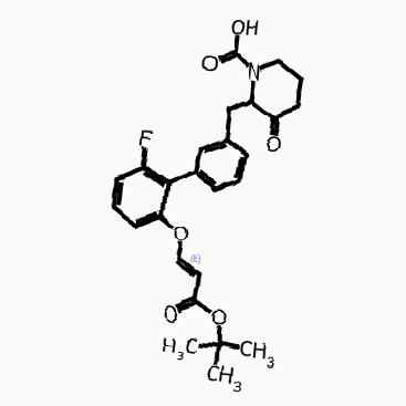 CC(C)(C)OC(=O)/C=C/Oc1cccc(F)c1-c1cccc(CC2C(=O)CCCN2C(=O)O)c1